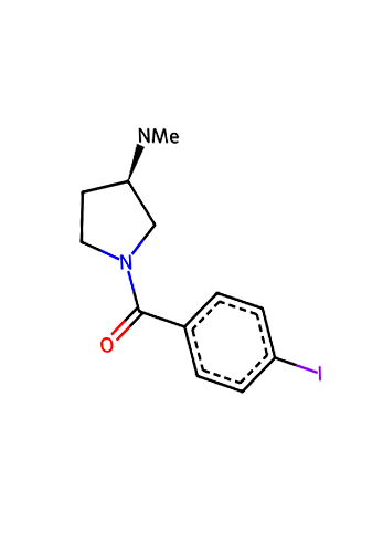 CN[C@@H]1CCN(C(=O)c2ccc(I)cc2)C1